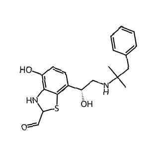 CC(C)(Cc1ccccc1)NC[C@H](O)c1ccc(O)c2c1SC(C=O)N2